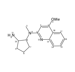 COc1cc(N(C)C2CCCC2N)nc2ccccc12